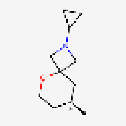 C[C@H]1CCOC2(C1)CN(C1CC1)C2